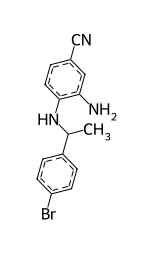 CC(Nc1ccc(C#N)cc1N)c1ccc(Br)cc1